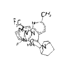 Cc1ccc(C(=O)N2C3CCC2C(Nc2ncc(C(F)(F)F)cc2F)C3)c(-n2nccn2)n1